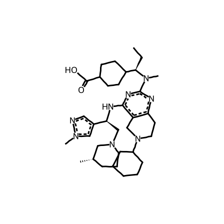 CC[C@H](C1CCC(C(=O)O)CC1)N(C)c1nc2c(c(N[C@@H](CN3CCC[C@H](C)C3)c3cnn(C)c3)n1)CN(C1CCCCC1)CC2